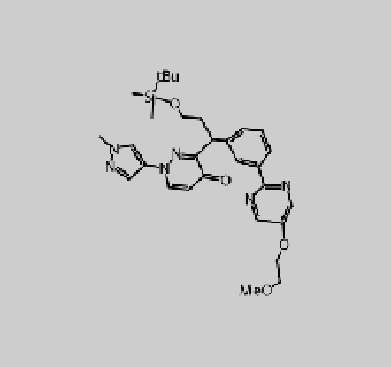 COCCOc1cnc(-c2cccc(C(CCO[Si](C)(C)C(C)(C)C)c3nn(-c4cnn(C)c4)ccc3=O)c2)nc1